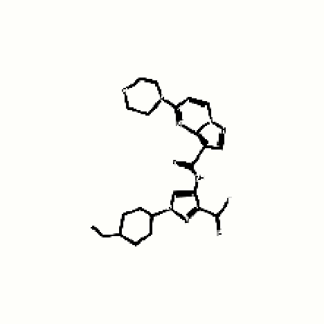 CCC1CCC(n2cc(NC(=O)c3cnn4ccc(N5CCOCC5)nc34)c(C(F)F)n2)CC1